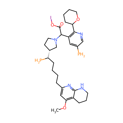 COc1cc(CCCCC(P)[C@@H]2CCN(C(C(=O)OI)c3cc(P)cnc3C3CCCCO3)C2)nc2c1CCCN2